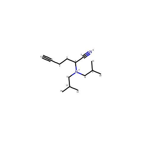 C#CCCC(C#N)N(CC(C)C)CC(C)C